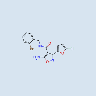 Nc1onc(-c2ccc(Cl)o2)c1C(=O)NCc1ccccc1Br